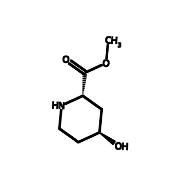 COC(=O)[C@@H]1C[C@@H](O)CCN1